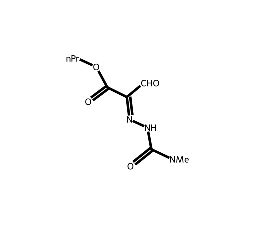 CCCOC(=O)/C(C=O)=N/NC(=O)NC